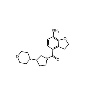 Nc1ccc(C(=O)N2CCC(N3CCOCC3)C2)c2c1OCC2